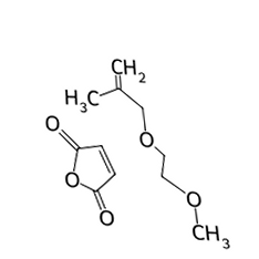 C=C(C)COCCOC.O=C1C=CC(=O)O1